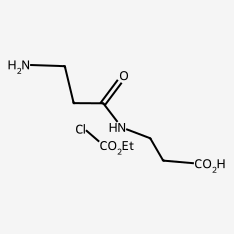 CCOC(=O)Cl.NCCC(=O)NCCC(=O)O